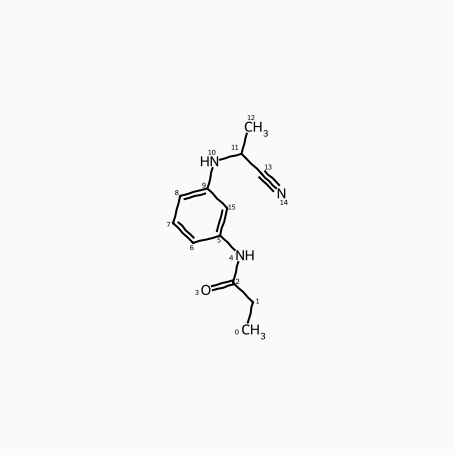 CCC(=O)Nc1cccc(NC(C)C#N)c1